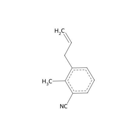 C=CCc1cccc(C#N)c1C